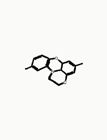 CC1=CC2Oc3ccc(C)cc3N3CCOC(=C1)C23